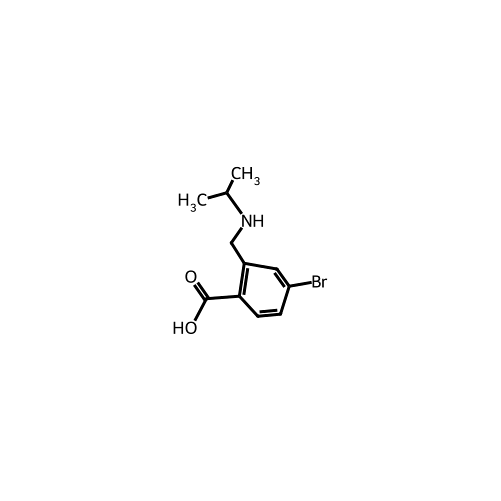 CC(C)NCc1cc(Br)ccc1C(=O)O